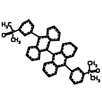 CP(C)(=O)c1cccc(-c2c3ccccc3c(-c3c4ccccc4c(-c4cccc(P(C)(C)=O)c4)c4ccccc34)c3ccccc23)c1